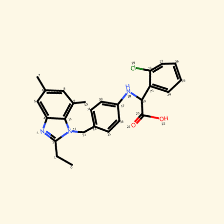 CCc1nc2cc(C)cc(C)c2n1Cc1ccc(NC(C(=O)O)c2ccccc2Cl)cc1